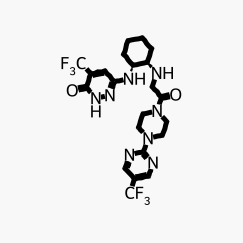 O=C(CN[C@@H]1CCCC[C@H]1Nc1cc(C(F)(F)F)c(=O)[nH]n1)N1CCN(c2ncc(C(F)(F)F)cn2)CC1